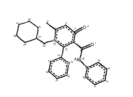 Cc1cc(=O)c(C(=O)Nc2ccccc2)c(-c2ccccn2)n1CC1CCCCC1